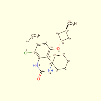 CC(=O)O.O=C1Nc2c(Cl)ccc(O[C@H]3C[C@H](C(=O)O)C3)c2C2(CCCCC2)N1